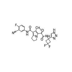 Cc1c(C(=O)Nc2ccc(F)c(C#N)c2)c2n(c1C(=O)C(=O)NC1(c3c[nH]nn3)CC(F)(F)C1)CCC2